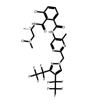 Cc1nc(Cn2cc(C(F)(F)C(F)(F)F)c(C(F)(F)C(F)(F)F)n2)ncc1NC(=O)c1cccc(Cl)c1C(=O)N[C@@H](C)C[S+](C)[O-]